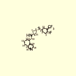 Fc1ccc(S[C@H]2C[C@H](NCc3cccc4cnccc34)C2)cc1C(F)(F)F